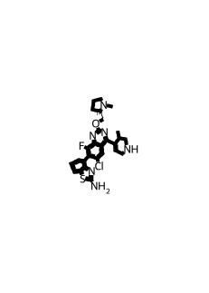 CC1CNCC=C1c1nc(OC[C@@H]2CCCN2C)nc2c(F)c(-c3cccc4sc(N)nc34)c(Cl)cc12